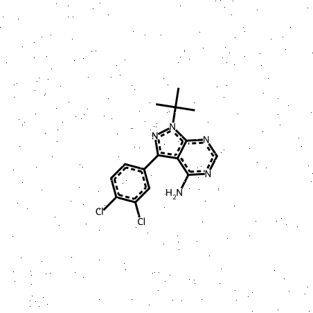 CC(C)(C)n1nc(-c2ccc(Cl)c(Cl)c2)c2c(N)ncnc21